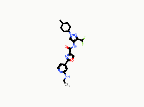 CC1CCC(n2cc(NC(=O)c3coc(-c4ccnc(NCC(F)(F)F)c4)n3)c(C(F)F)n2)CC1